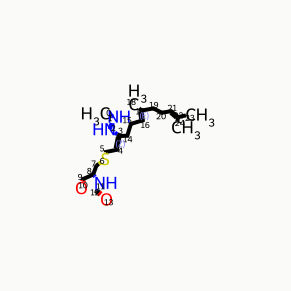 CNN/C(=C\CSCC(C=O)NC=O)CC/C=C(\C)CCC=C(C)C